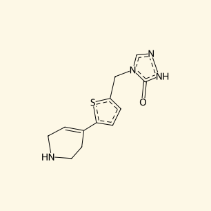 O=c1[nH]ncn1Cc1ccc(C2=CCNCC2)s1